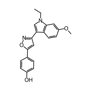 CCn1cc(-c2cc(-c3ccc(O)cc3)on2)c2ccc(OC)cc21